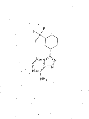 Nc1ncnn2c([C@H]3CCC[C@@H](C(F)(F)F)C3)nnc12